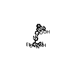 CCOc1cc(-c2ccc(N3CCC(Cc4ccccc4)(NC(=O)[C@H]4NCC[C@@H]4O)CC3)nc2)c2c3cn[nH]c3nn2c1